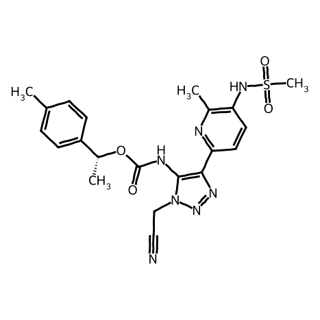 Cc1ccc([C@@H](C)OC(=O)Nc2c(-c3ccc(NS(C)(=O)=O)c(C)n3)nnn2CC#N)cc1